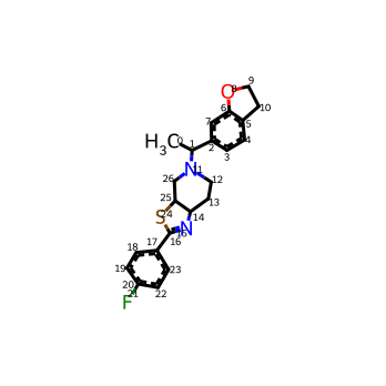 CC(c1ccc2c(c1)OCC2)N1CCC2N=C(c3ccc(F)cc3)SC2C1